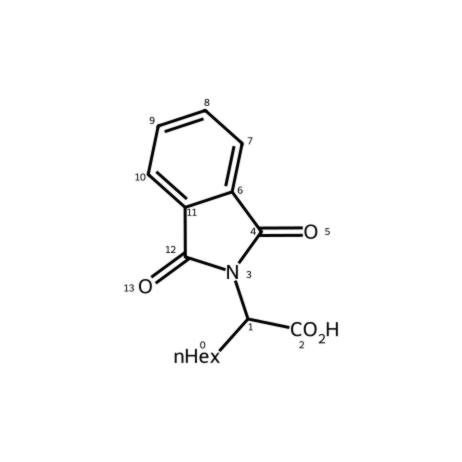 CCCCCCC(C(=O)O)N1C(=O)c2ccccc2C1=O